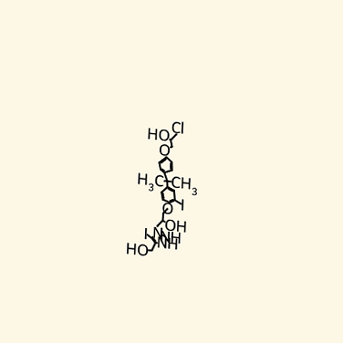 CC(C)(c1ccc(OCC(O)CCl)cc1)c1ccc(OCC(O)CN2NNC(CO)=C2I)c(I)c1